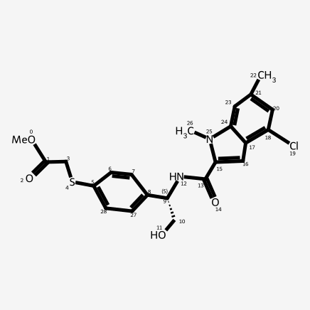 COC(=O)CSc1ccc([C@@H](CO)NC(=O)c2cc3c(Cl)cc(C)cc3n2C)cc1